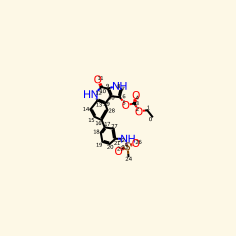 CCOC(=O)Oc1c[nH]c2c(=O)[nH]c3ccc(-c4cccc(NS(C)(=O)=O)c4)cc3c12